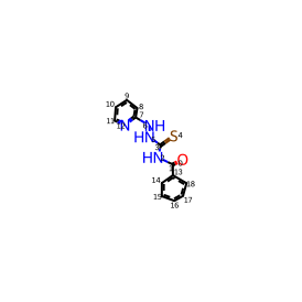 O=C(NC(=S)NNc1ccccn1)c1ccccc1